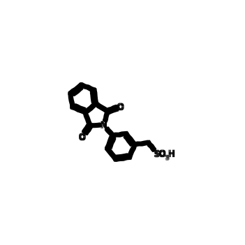 O=C1c2ccccc2C(=O)N1c1cccc(CS(=O)(=O)O)c1